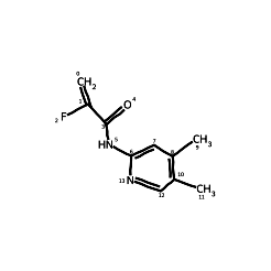 C=C(F)C(=O)Nc1cc(C)c(C)cn1